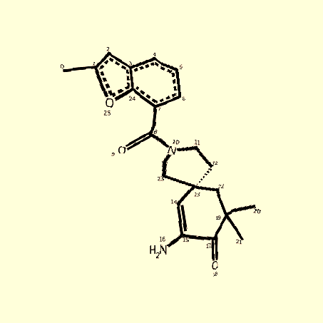 Cc1cc2cccc(C(=O)N3CC[C@]4(C=C(N)C(=O)C(C)(C)C4)C3)c2o1